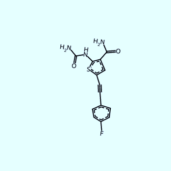 NC(=O)Nc1sc(C#Cc2ccc(F)cc2)cc1C(N)=O